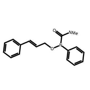 CNC(=O)N(OC/C=C/c1ccccc1)c1ccccc1